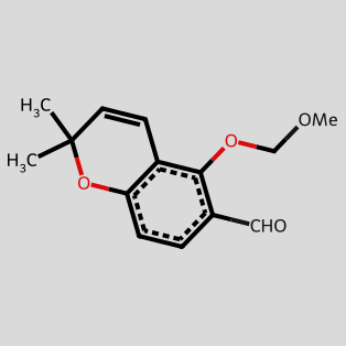 COCOc1c(C=O)ccc2c1C=CC(C)(C)O2